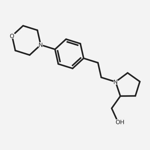 OCC1CCCN1CCc1ccc(N2CCOCC2)cc1